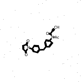 C#CC(=O)N(C(C)=O)c1ccc(Cc2ccc(N3C(=O)C=CC3=O)cc2)cc1